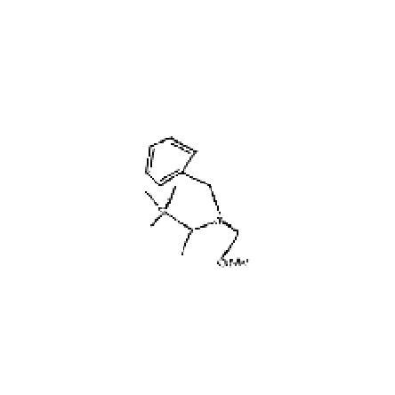 COCN(Cc1ccccc1)C(C)[Si](C)(C)C